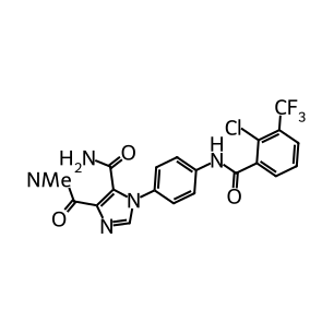 CNC(=O)c1ncn(-c2ccc(NC(=O)c3cccc(C(F)(F)F)c3Cl)cc2)c1C(N)=O